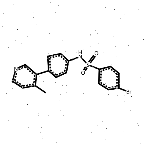 Cc1ccncc1-c1ccc(NS(=O)(=O)c2ccc(Br)cc2)cc1